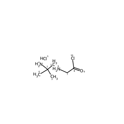 CC(C)(C)N.Cl.NCC(=O)Cl